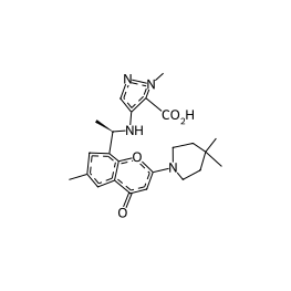 Cc1cc([C@@H](C)Nc2cnn(C)c2C(=O)O)c2oc(N3CCC(C)(C)CC3)cc(=O)c2c1